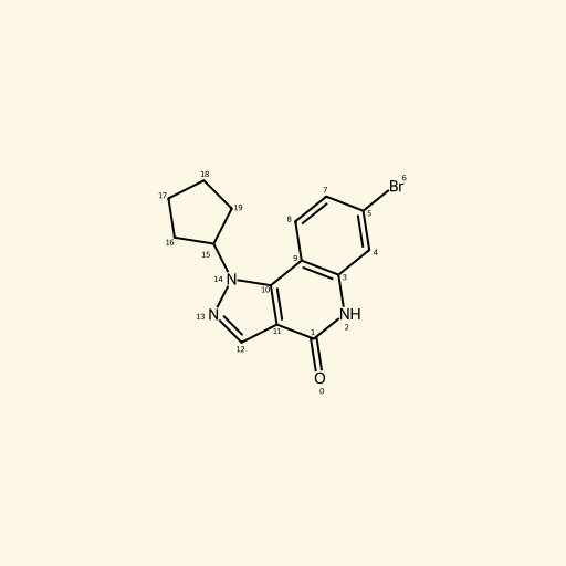 O=c1[nH]c2cc(Br)ccc2c2c1cnn2C1CCCC1